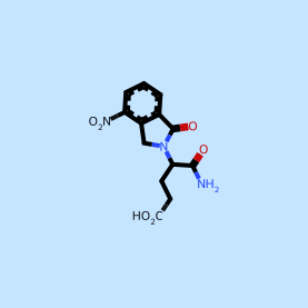 NC(=O)C(CCC(=O)O)N1Cc2c(cccc2[N+](=O)[O-])C1=O